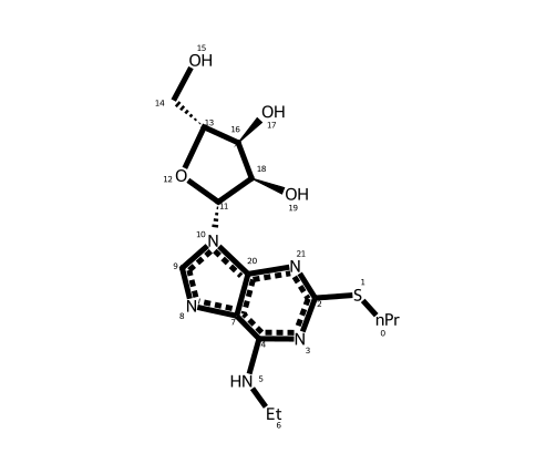 CCCSc1nc(NCC)c2ncn([C@@H]3O[C@H](CO)[C@@H](O)[C@H]3O)c2n1